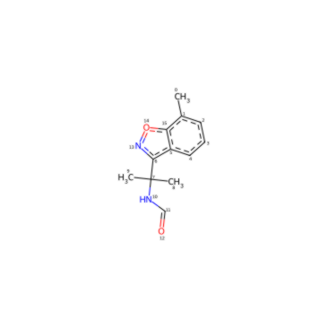 Cc1cccc2c(C(C)(C)NC=O)noc12